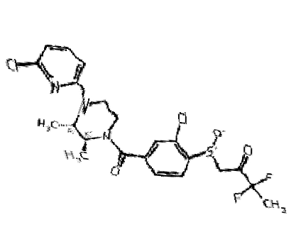 C[C@H]1[C@H](C)N(c2cccc(Cl)n2)CCN1C(=O)c1ccc([S+]([O-])CC(=O)C(C)(F)F)c(Cl)c1